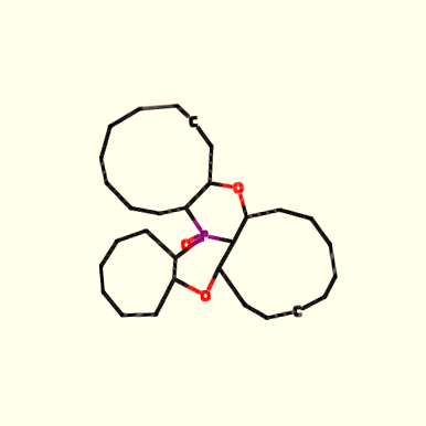 O=P12C3CCCCCCCCCC3OC3CCCCCCCCC(OC4CCCCCCC41)C32